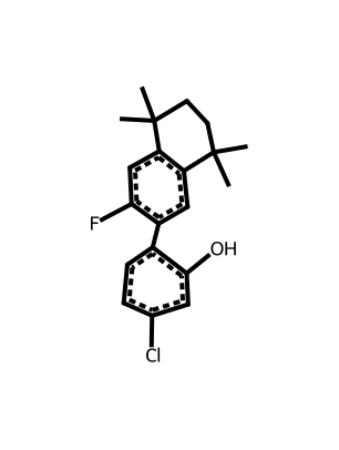 CC1(C)CCC(C)(C)c2cc(-c3ccc(Cl)cc3O)c(F)cc21